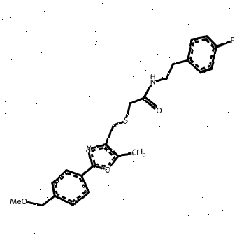 COCc1ccc(-c2nc(CSCC(=O)NCCc3ccc(F)cc3)c(C)o2)cc1